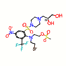 CS(=O)(=O)OCCN(CCBr)c1c(C(F)(F)F)cc([N+](=O)[O-])cc1S(=O)(=O)N1CCN(C[C@H](O)CO)CC1